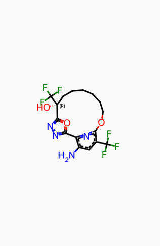 Nc1cc(C(F)(F)F)c2nc1-c1nnc(o1)[C@@](O)(C(F)(F)F)CCCCCCO2